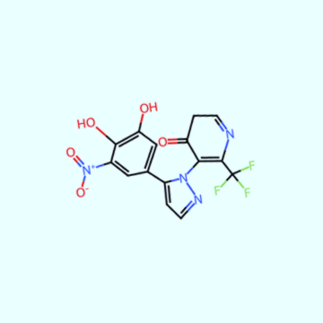 O=C1CC=NC(C(F)(F)F)=C1n1nccc1-c1cc(O)c(O)c([N+](=O)[O-])c1